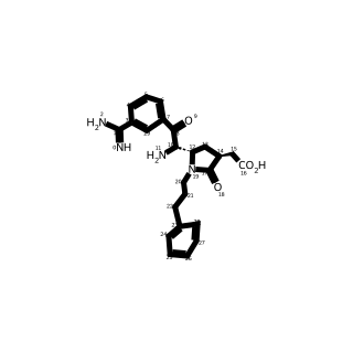 N=C(N)c1cccc(C(=O)C(N)[C@@H]2C[C@@H](CC(=O)O)C(=O)N2CCCc2ccccc2)c1